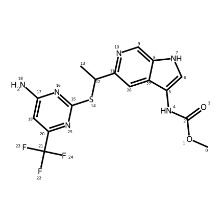 COC(=O)Nc1c[nH]c2cnc(C(C)Sc3nc(N)cc(C(F)(F)F)n3)cc12